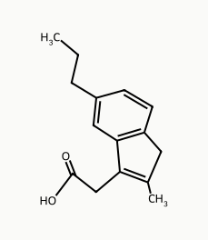 CCCc1ccc2c(c1)C(CC(=O)O)=C(C)C2